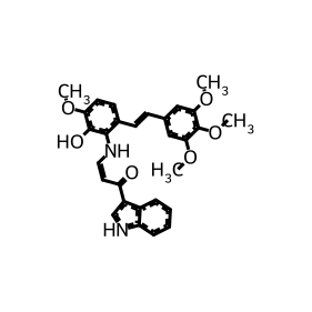 COc1ccc(/C=C/c2cc(OC)c(OC)c(OC)c2)c(N/C=C\C(=O)c2c[nH]c3ccccc23)c1O